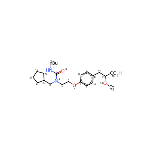 CCCCNC(=O)N(CCOc1ccc(CC(OCC)C(=O)O)cc1)CC1CCCC1